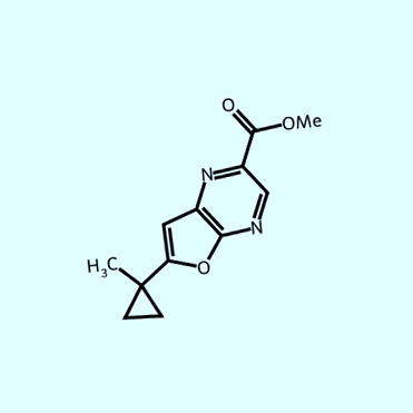 COC(=O)c1cnc2oc(C3(C)CC3)cc2n1